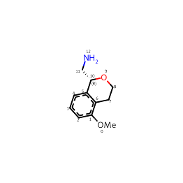 COc1cccc2c1CCO[C@H]2CN